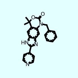 CC1(C)OC(=O)N(Cc2ccccc2)c2cc3nc(-c4ccncc4)[nH]c3cc21